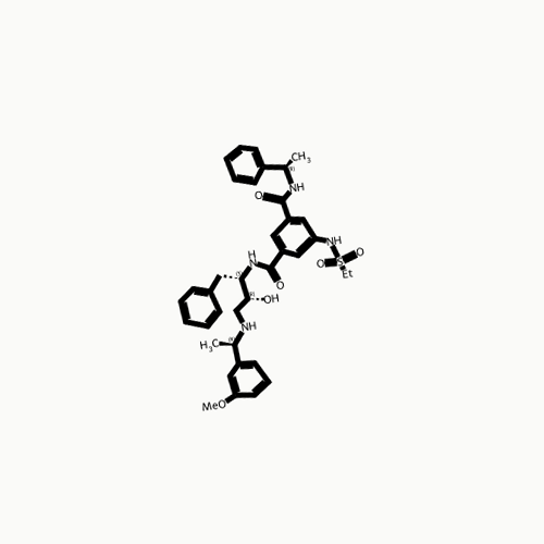 CCS(=O)(=O)Nc1cc(C(=O)N[C@@H](Cc2ccccc2)[C@H](O)CN[C@H](C)c2cccc(OC)c2)cc(C(=O)N[C@H](C)c2ccccc2)c1